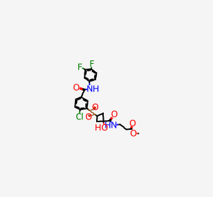 COC(=O)CCNC(=O)C1(O)CC(S(=O)(=O)c2cc(C(=O)Nc3ccc(F)c(F)c3)ccc2Cl)C1